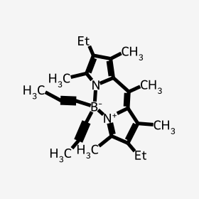 CC#C[B-]1(C#CC)n2c(C)c(CC)c(C)c2C(C)=C2C(C)=C(CC)C(C)=[N+]21